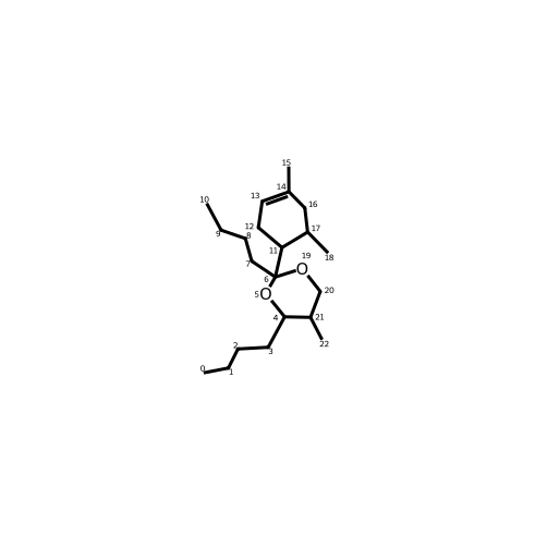 CCCCC1OC(CCCC)(C2CC=C(C)CC2C)OCC1C